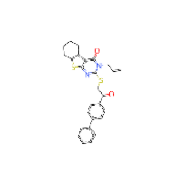 C=CCn1c(SCC(=O)c2ccc(-c3ccccc3)cc2)nc2sc3c(c2c1=O)CCCC3